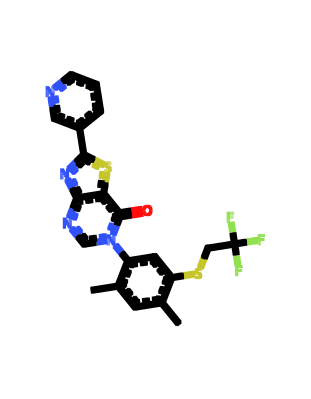 Cc1cc(C)c(-n2cnc3nc(-c4cccnc4)sc3c2=O)cc1SCC(F)(F)F